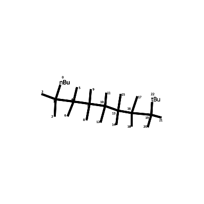 CCCCC(C)(C)C(C)(C)C(C)(C)C(C)(C)C(C)(C)C(C)(C)C(C)(C)C(C)(C)C